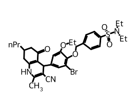 CCCC1CC(=O)C2=C(C1)NC(C)=C(C#N)C2c1cc(Br)c(OCc2ccc(S(=O)(=O)N(CC)CC)cc2)c(OCC)c1